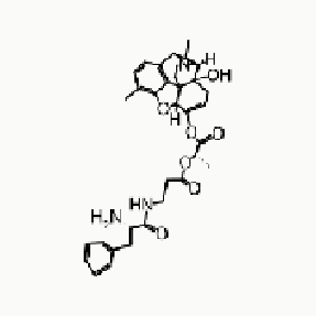 Cc1ccc2c3c1O[C@H]1C(OC(=O)[C@H](C)OC(=O)CCNC(=O)[C@@H](N)Cc4ccccc4)=CC[C@@]4(O)[C@@H](C2)N(C)CC[C@]314